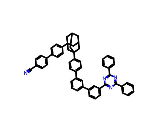 N#Cc1ccc(-c2ccc(C34CC5CC(C3)CC(c3ccc(-c6cccc(-c7cccc(-c8nc(-c9ccccc9)nc(-c9ccccc9)n8)c7)c6)cc3)(C5)C4)cc2)cc1